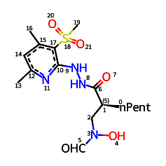 CCCCC[C@@H](CN(O)C=O)C(=O)NNc1nc(C)cc(C)c1S(C)(=O)=O